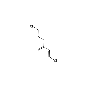 O=C(C=CCl)CCCCl